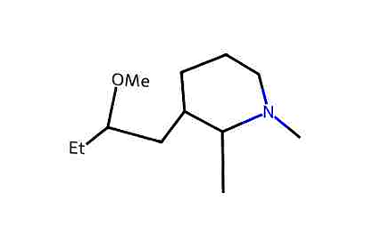 CCC(CC1CCCN(C)C1C)OC